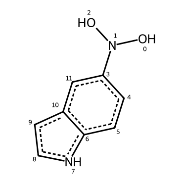 ON(O)c1ccc2[nH]ccc2c1